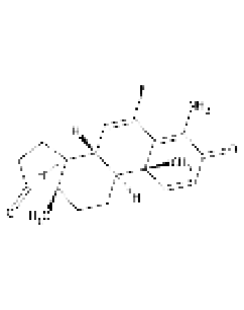 C[C@]12C=CC(=O)C(N)=C1C(F)=C[C@@H]1[C@@H]2CC[C@]2(C)C(=O)CC[C@@H]12